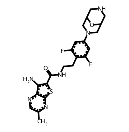 Cc1cnc2c(N)c(C(=O)NCCc3c(F)cc(N4CC5CNCC(C4)O5)cc3F)sc2n1